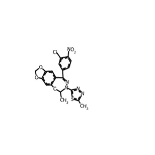 Cc1nnc(N2N=C(c3ccc([N+](=O)[O-])c(Cl)c3)c3cc4c(cc3CC2C)OCO4)s1